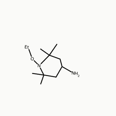 CCON1C(C)(C)CC(N)CC1(C)C